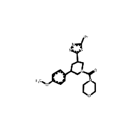 CC(C)c1nnc(C2CC(c3ccc(OC(F)(F)F)cc3)CN(C(=O)N3CCOCC3)C2)s1